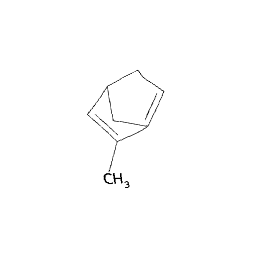 CC1=CC2CC=C1C2